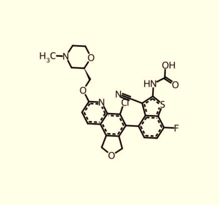 CN1CCO[C@@H](COc2ccc3c4c(c(-c5ccc(F)c6sc(NC(=O)O)c(C#N)c56)c(Cl)c3n2)COC4)C1